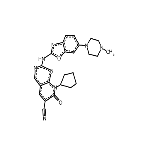 CN1CCN(c2ccc3nc(Nc4ncc5cc(C#N)c(=O)n(C6CCCC6)c5n4)oc3c2)CC1